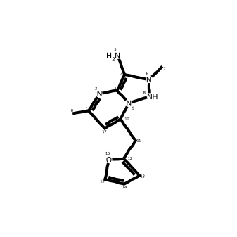 CC1=NC2=C(N)N(C)NN2C(Cc2ccco2)=C1